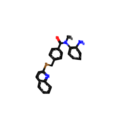 CN(C(=O)c1ccc(CSc2ccc3ccccc3n2)cc1)c1ccccc1N